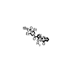 CCC1CN(C(=O)c2cnn(-c3nn4cccc4c(=O)[nH]3)c2C)CC(CC)N1C(=O)OC(C)(C)C